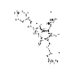 CCOC(=O)CCCCn1c(=O)c2[nH]c(CCC3CCNCC3)nc2n(C)c1=O.Cl.Cl